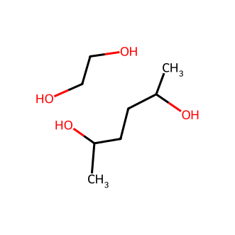 CC(O)CCC(C)O.OCCO